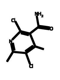 Cc1nc(Cl)c(C(N)=O)c(C)c1Cl